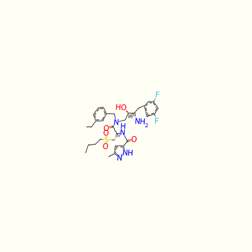 CCCCS(=O)(=O)C[C@@H](NC(=O)c1cc(C)n[nH]1)C(=O)N(Cc1cccc(CC)c1)C[C@@H](O)[C@@H](N)Cc1cc(F)cc(F)c1